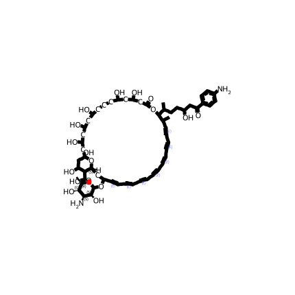 CC1/C=C/C=C/C=C\C=C/C=C/C=C/C=C/C(OC2O[C@H](C)[C@@H](O)[C@H](N)[C@@H]2O)C[C@@H]2OC(O)(CC(O)CC(O)CC(O)CCCC(O)CC(O)CC(=O)OC1C(C)CCC(O)CC(=O)c1ccc(N)cc1)CC(O)C2C(=O)O